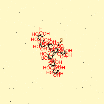 OCC1O[C@@H](O[C@@H]2C(O)[C@@H](OCCCS)OC(CO[C@@H]3OC(CO)[C@@H](O)[C@H](O)C3C[C@H]3OC(CO)[C@@H](O[C@@H]4OC(CO)[C@H](O)[C@H](O)C4O)[C@H](O)C3O)[C@H]2C[C@@H]2OC(CO)[C@@H](O)[C@H](O)C2O[C@@H]2OC(CO)[C@@H](O[C@@H]3OC(CO)[C@H](O)[C@H](O)C3O)[C@H](O)C2O)C(O)[C@@H](O)[C@@H]1O